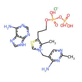 Cc1ncc(C[n+]2csc(CCOP(=O)(O)OP(=O)(O)O)c2C)c(N)n1.Nc1ncnc2[nH]cnc12.[Cl-]